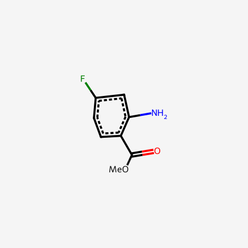 COC(=O)c1ccc(F)cc1N